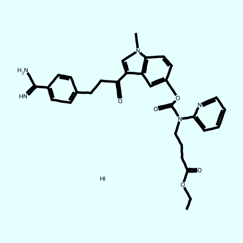 CCOC(=O)CCCN(C(=O)Oc1ccc2c(c1)c(C(=O)CCc1ccc(C(=N)N)cc1)cn2C)c1ccccn1.I